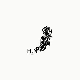 CC[C@H](C)C([C@@H](CC(=O)N1CCC[C@H]1[C@H](OC)[C@@H](C)C(=O)N[C@@H](Cc1ccccc1)C(=O)N[C@@H](Cc1ccc(N)cc1)C(=O)OC)OC)N(C)C(=O)[C@@H](NC(=O)[C@H](C(C)C)N(C)C)C(C)C